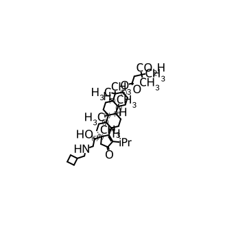 CC(C)C1=C2[C@H]3CC[C@@H]4[C@@]5(C)CC[C@H](OC(=O)CC(C)(C)C(=O)O)C(C)(C)[C@@H]5CC[C@@]4(C)[C@]3(C)CC[C@@]2([C@H](O)CNCC2CCC2)CC1=O